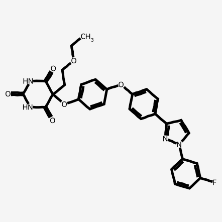 CCOCCC1(Oc2ccc(Oc3ccc(-c4ccn(-c5cccc(F)c5)n4)cc3)cc2)C(=O)NC(=O)NC1=O